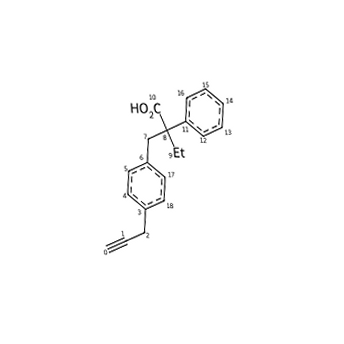 C#CCc1ccc(CC(CC)(C(=O)O)c2ccccc2)cc1